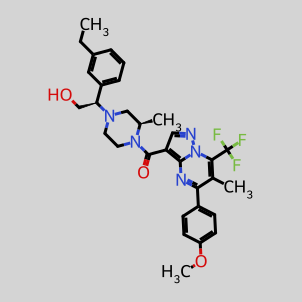 CCc1cccc([C@H](CO)N2CCN(C(=O)c3cnn4c(C(F)(F)F)c(C)c(-c5ccc(OC)cc5)nc34)[C@H](C)C2)c1